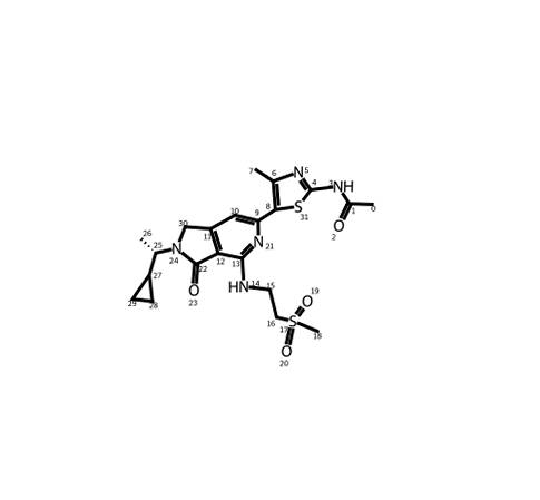 CC(=O)Nc1nc(C)c(-c2cc3c(c(NCCS(C)(=O)=O)n2)C(=O)N([C@@H](C)C2CC2)C3)s1